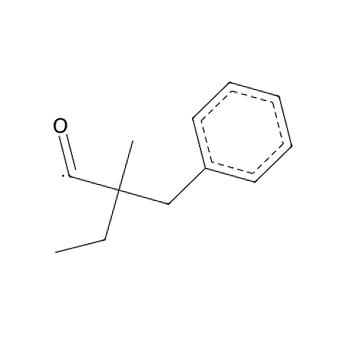 CCC(C)([C]=O)Cc1ccccc1